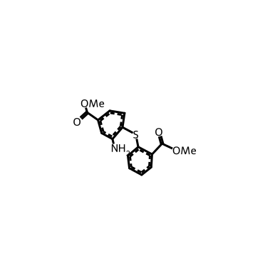 COC(=O)c1ccc(Sc2ccccc2C(=O)OC)c(N)c1